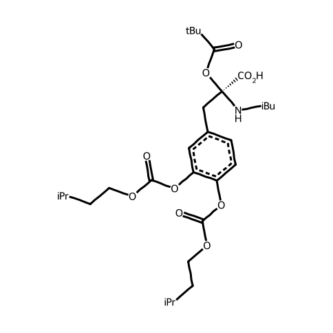 CCC(C)N[C@@](Cc1ccc(OC(=O)OCCC(C)C)c(OC(=O)OCCC(C)C)c1)(OC(=O)C(C)(C)C)C(=O)O